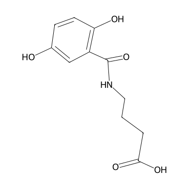 O=C(O)CCCNC(=O)c1cc(O)ccc1O